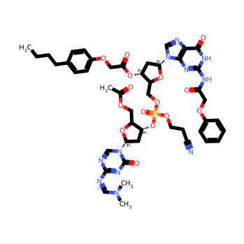 CCCCc1ccc(OCC(=O)O[C@@H]2C[C@H](n3cnc4c(=O)[nH]c(NC(=O)COc5ccccc5)nc43)OC2COP(=O)(OCCC#N)O[C@@H]2C[C@H](n3cnc(/N=C\N(C)C)nc3=O)OC2COC(C)=O)cc1